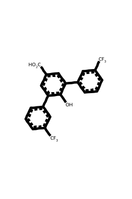 O=C(O)c1cc(-c2cccc(C(F)(F)F)c2)c(O)c(-c2cccc(C(F)(F)F)c2)c1